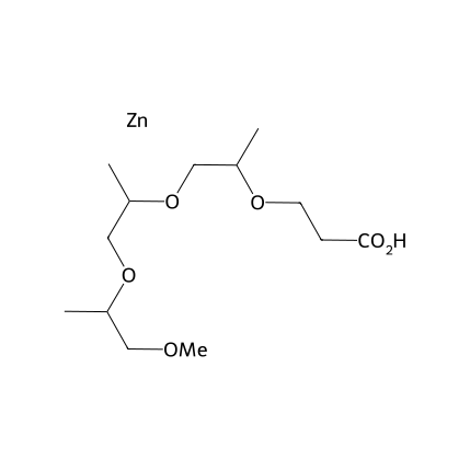 COCC(C)OCC(C)OCC(C)OCCC(=O)O.[Zn]